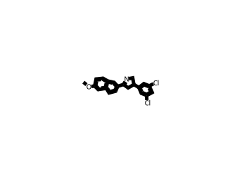 COc1ccc2cc(C3=NCC(c4cc(Cl)cc(Cl)c4)C3)ccc2c1